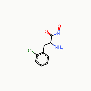 NC(Cc1ccccc1Cl)C(=O)N=O